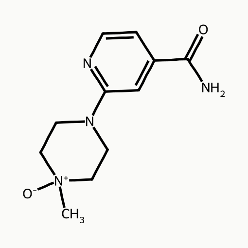 C[N+]1([O-])CCN(c2cc(C(N)=O)ccn2)CC1